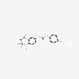 CN1c2ccc(NC(=S)Nc3ccc([N+](=O)[O-])cc3)cc2C(C)(C)C(=O)C1(C)C